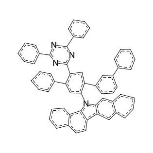 c1ccc(-c2cccc(-c3cc(-c4nc(-c5ccccc5)nc(-c5ccccc5)n4)c(-c4ccccc4)cc3-n3c4cc5ccccc5cc4c4ccc5ccccc5c43)c2)cc1